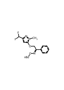 CCCCON=C(COc1cc(C(F)F)nn1C)c1ccccc1